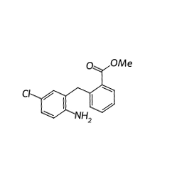 COC(=O)c1ccccc1Cc1cc(Cl)ccc1N